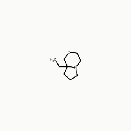 CCC12CCCN1CCOC2